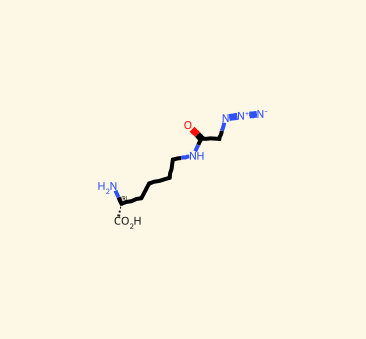 [N-]=[N+]=NCC(=O)NCCCC[C@@H](N)C(=O)O